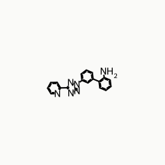 Nc1ccccc1-c1cccc(-n2nnc(-c3ccccn3)n2)c1